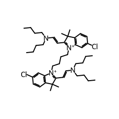 CCCCN(C=CC1=[N+](CCCC[N+]2=C(C=CN(CCCC)CCCC)C(C)(C)c3ccc(Cl)cc32)c2cc(Cl)ccc2C1(C)C)CCCC